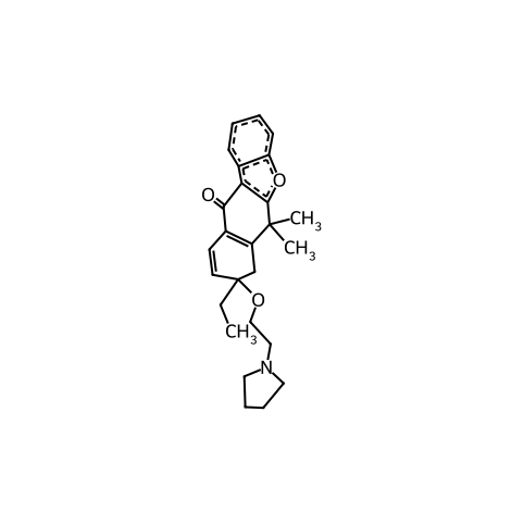 CCC1(OCCN2CCCC2)C=CC2=C(C1)C(C)(C)c1oc3ccccc3c1C2=O